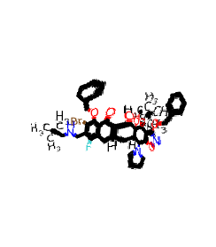 CC(C)(C)CNCc1c(F)c2c(c(OCc3ccccc3)c1Br)C(=O)C1=C(O)[C@]3(O[Si](C)(C)C(C)(C)C)C(=O)c4c(OCc5ccccc5)noc4[C@@H](N4CCCC4)[C@@H]3C[C@@H]1C2